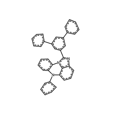 c1ccc(-c2cc(-c3ccccc3)cc(-c3nc4cccc5c4n3-c3ccccc3N5c3ccccc3)c2)cc1